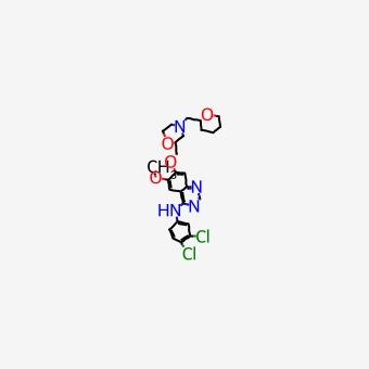 COc1cc2c(Nc3ccc(Cl)c(Cl)c3)ncnc2cc1OCC1CN(CC2CCCCO2)CCO1